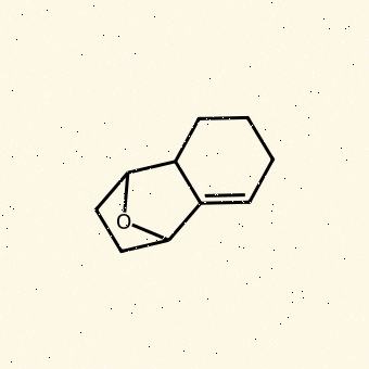 C1=C2C3CCC(O3)C2CCC1